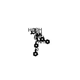 CC(C)C[C@H](NC(=O)[C@@H](NC(=O)[C@H](Cc1ccc(OCc2ccccc2)cc1)Nc1cccc(-c2ccccc2)c1)C(C)C)B(O)O